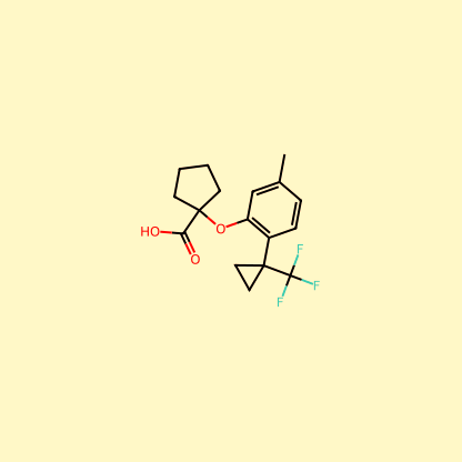 Cc1ccc(C2(C(F)(F)F)CC2)c(OC2(C(=O)O)CCCC2)c1